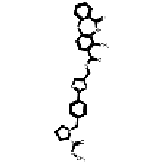 COC(=O)[C@@H]1CCCN1Cc1ccc(-c2ncc(CNC(=O)c3ccc4c(c3C)NC(=O)c3ccccc3O4)s2)cc1